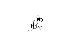 CCCc1cc(N2CCC2)c2cc([N+](=O)[O-])ccc2n1